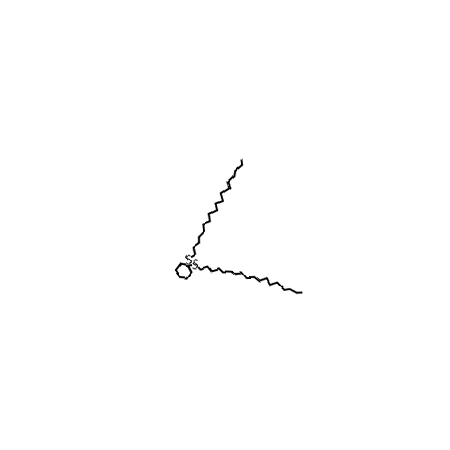 CCCCCCCCCCCCCCCCCCSC1(SCCCCCCCCCCCCCCCCCC)CCCCC1